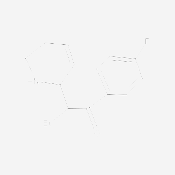 CCC(C(=O)c1ccc(F)cc1)C1C=CCCN1